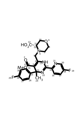 COC(=O)C1=C(CN2CCOC[C@H]2C(=O)O)NC(c2ccc(F)cn2)=NC1(C)c1ccc(F)cc1